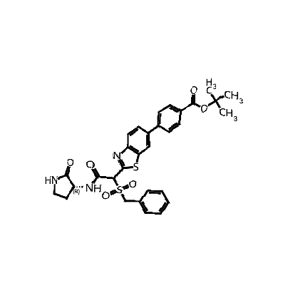 CC(C)(C)OC(=O)c1ccc(-c2ccc3nc(C(C(=O)N[C@@H]4CCNC4=O)S(=O)(=O)Cc4ccccc4)sc3c2)cc1